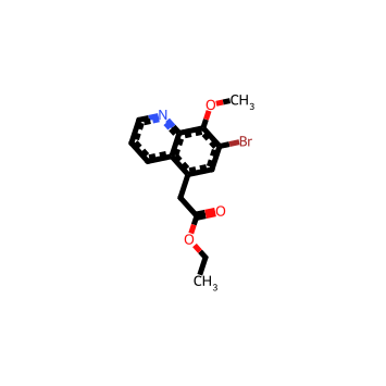 CCOC(=O)Cc1cc(Br)c(OC)c2ncccc12